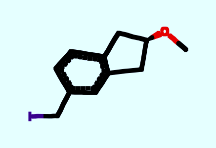 CO[C@@H]1Cc2ccc(CI)cc2C1